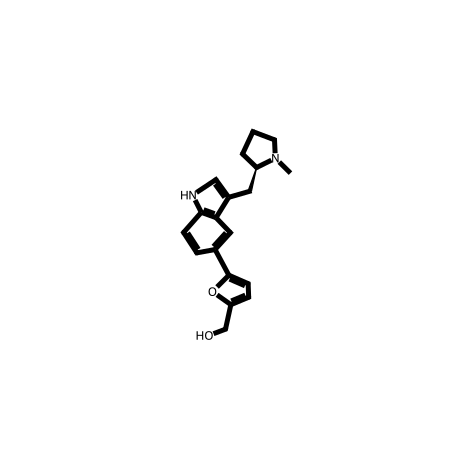 CN1CCC[C@@H]1Cc1c[nH]c2ccc(-c3ccc(CO)o3)cc12